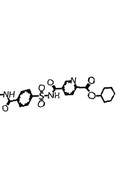 CCNC(=O)c1ccc(S(=O)(=O)NC(=O)c2ccc(C(=O)OC3CCCCC3)nc2)cc1